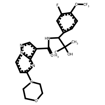 CC(C)(O)C(NC(=O)c1cnn2ccc(N3CCOCC3)nc12)c1ccc(OC(F)(F)F)c(F)c1